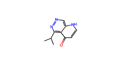 CC(C)c1nncc2[nH]ccc(=O)c12